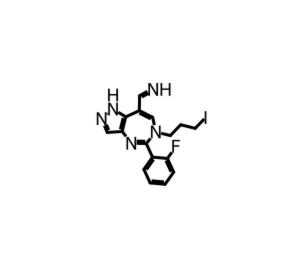 N=CC1=CN(CCCI)C(c2ccccc2F)=Nc2cn[nH]c21